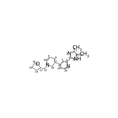 Cc1nc(-c2cc(C3=CC=CN(CC4CCCO4)C3)ccn2)[nH]c1C